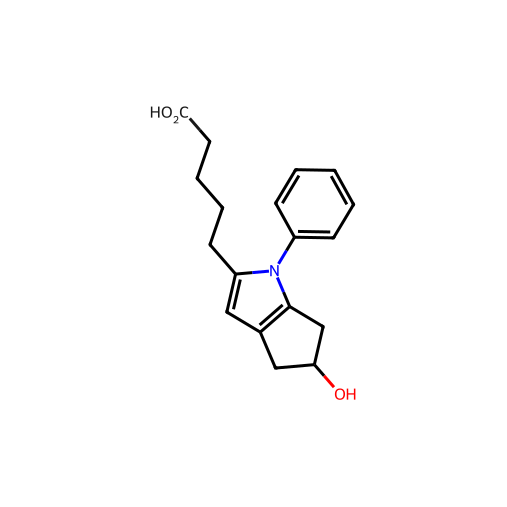 O=C(O)CCCCc1cc2c(n1-c1ccccc1)CC(O)C2